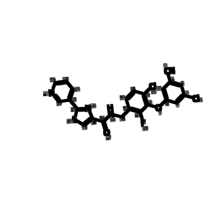 N#Cc1cc(Cl)cc(Oc2c(Cl)ccc(CNC(=O)c3csc(-c4cccnc4)n3)c2F)c1